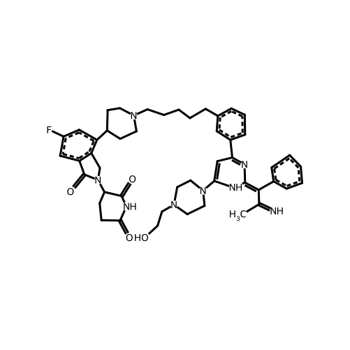 CC(=N)/C(=C1/N=C(c2cccc(CCCCCN3CCC(c4cc(F)cc5c4CN(C4CCC(=O)NC4=O)C5=O)CC3)c2)C=C(N2CCN(CCO)CC2)N1)c1ccccc1